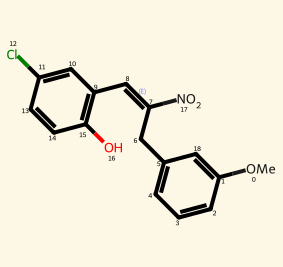 COc1cccc(C/C(=C\c2cc(Cl)ccc2O)[N+](=O)[O-])c1